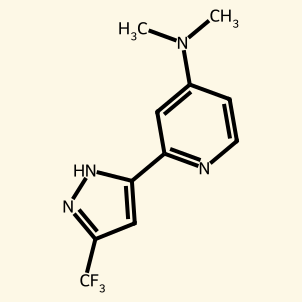 CN(C)c1ccnc(-c2cc(C(F)(F)F)n[nH]2)c1